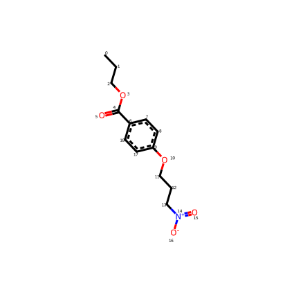 CCCOC(=O)c1ccc(OCCC[N+](=O)[O-])cc1